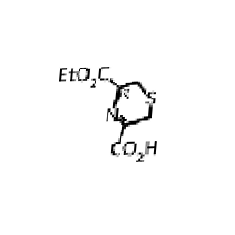 CCOC(=O)[C@H]1CSCC(C(=O)O)=N1